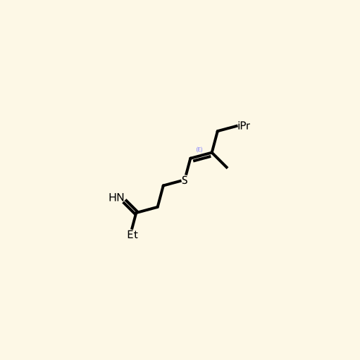 CCC(=N)CCS/C=C(\C)CC(C)C